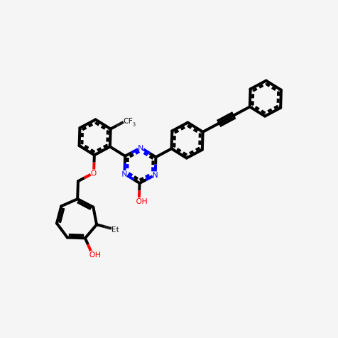 CCC1C=C(COc2cccc(C(F)(F)F)c2-c2nc(O)nc(-c3ccc(C#Cc4ccccc4)cc3)n2)C=CC=C1O